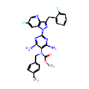 COC(=O)N(Cc1ccc(C)cc1)c1c(N)nc(-n2nc(Cc3ccccc3F)c3ncc(F)cc32)nc1N